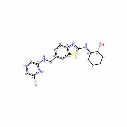 O[C@@H]1CCCC[C@H]1Nc1nc2ccc(CNc3cncc(Cl)n3)cc2s1